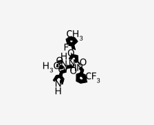 Cc1ccc(CO[C@@H]2C[C@@H](C(=O)NCc3ccccc3C(F)(F)F)N(C(=O)[C@@H](CCC3CCNCC3)NS(C)(=O)=O)C2)c(F)c1